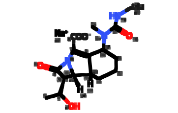 CC(O)[C@H]1C(=O)N2C(C(=O)[O-])=C3[C@H](CCC[C@@H]3N(C)C(=O)NC(C)(C)C)[C@H]12.[Na+]